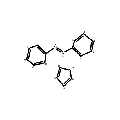 c1ccc(N=Nc2ccccc2)cc1.c1ccsc1